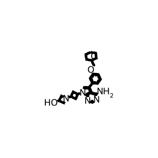 Nc1ncnc2c1c(-c1cccc(OCC34CCC(CC3)O4)c1)cn2C1CC(N2CC(O)C2)C1